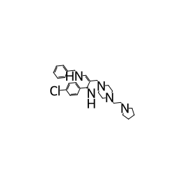 N=C(/C(=C\NCc1ccccc1)CN1CCN(CCN2CCCC2)CC1)c1ccc(Cl)cc1